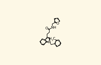 Cc1ccccc1Cn1cc(CCC(=O)NCc2ccco2)c2ccccc21